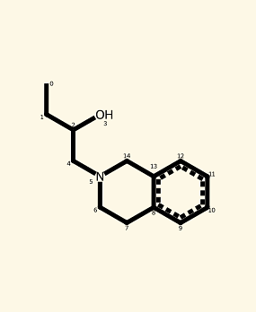 CCC(O)CN1CCc2ccccc2C1